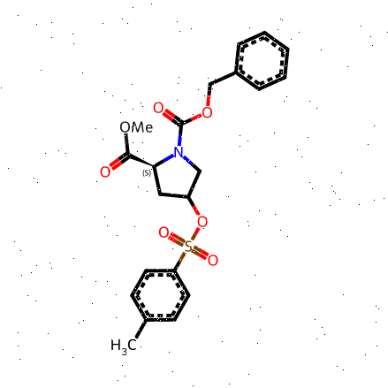 COC(=O)[C@@H]1CC(OS(=O)(=O)c2ccc(C)cc2)CN1C(=O)OCc1ccccc1